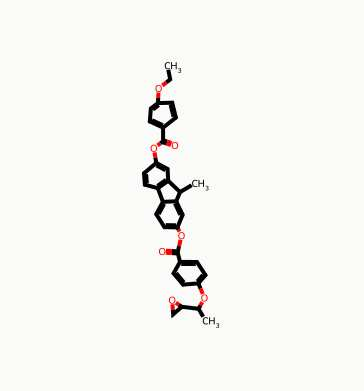 CCOc1ccc(C(=O)Oc2ccc3c(c2)C(C)c2cc(OC(=O)c4ccc(OC(C)C5CO5)cc4)ccc2-3)cc1